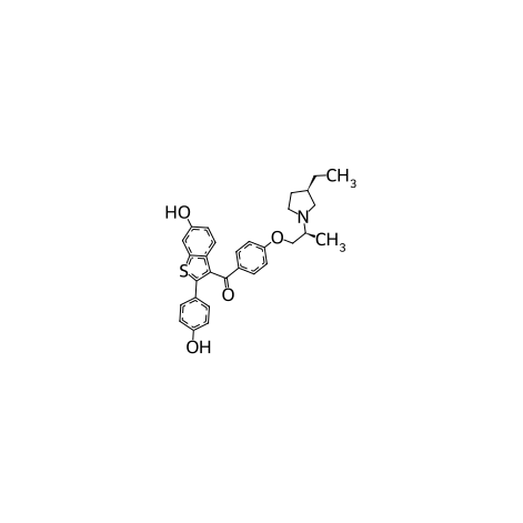 CC[C@@H]1CCN([C@@H](C)COc2ccc(C(=O)c3c(-c4ccc(O)cc4)sc4cc(O)ccc34)cc2)C1